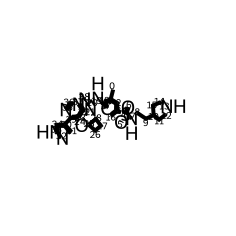 Cc1cc(S(=O)(=O)NCCC2CCNCC2)ccc1Nc1nc2c(OC3CCC3)c(-c3cn[nH]c3)ncn2n1